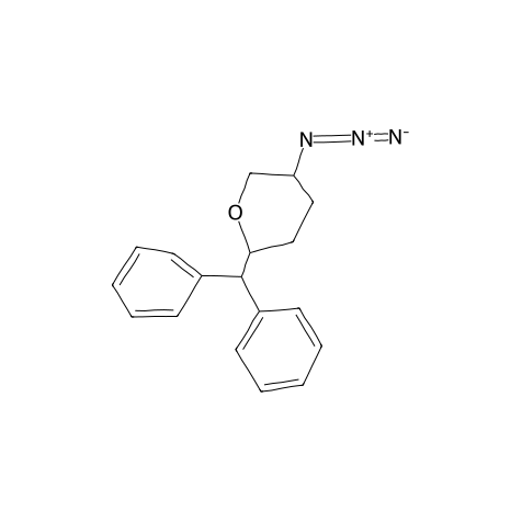 [N-]=[N+]=NC1CCC(C(c2ccccc2)c2ccccc2)OC1